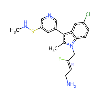 CNSc1cncc(-c2c(C)n(C/C(F)=C/CN)c3ccc(Cl)cc23)c1